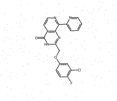 O=c1[nH]c(COc2ccc(F)c(Cl)c2)nc2c(-c3ccccn3)nccc12